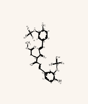 COC(=O)CC(C(=O)/C=C/c1ccc(O)c(OC(F)(F)F)c1)C(=O)/C=C/c1ccc(O)c(OC(F)(F)F)c1